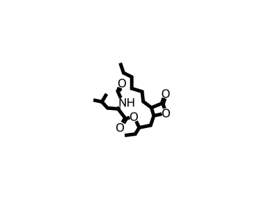 CCCCCCC1C(=O)OC1CC(CC)OC(=O)C(CC(C)C)NC=O